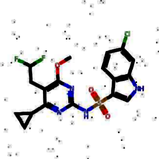 COc1nc(NS(=O)(=O)c2c[nH]c3cc(Cl)ccc23)nc(C2CC2)c1CC(F)F